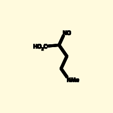 CNCCC(N=O)C(=O)O